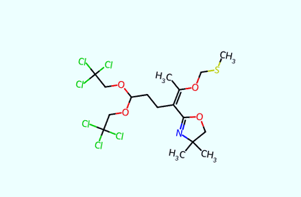 CSCO/C(C)=C(/CCC(OCC(Cl)(Cl)Cl)OCC(Cl)(Cl)Cl)C1=NC(C)(C)CO1